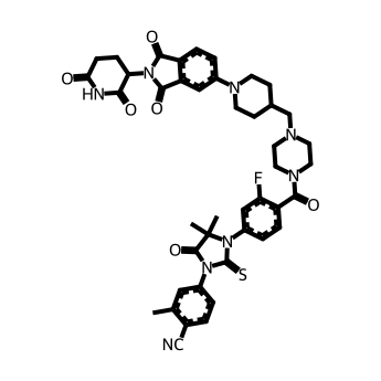 Cc1cc(N2C(=O)C(C)(C)N(c3ccc(C(=O)N4CCN(CC5CCN(c6ccc7c(c6)C(=O)N(C6CCC(=O)NC6=O)C7=O)CC5)CC4)c(F)c3)C2=S)ccc1C#N